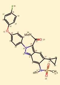 CCCN(c1cc2nn(-c3ccc(Oc4ccc(F)cc4)cc3)c(C(=O)NC)c2cc1C1CC1)S(C)(=O)=O